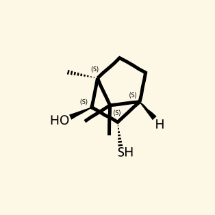 CC1(C)[C@@H]2CC[C@]1(C)[C@H](O)[C@H]2S